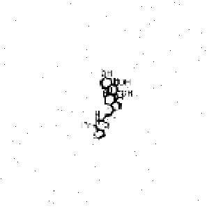 CC(C)[C@H](NC(=O)C[C@@H](C)[C@H]1CC[C@H]2[C@@H]3[C@H](O)[C@H](O)[C@@H]4C[C@H](O)CC[C@]4(C)[C@H]3CC[C@]12C)c1cccs1